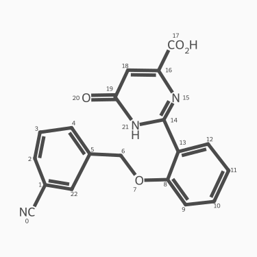 N#Cc1cccc(COc2ccccc2-c2nc(C(=O)O)cc(=O)[nH]2)c1